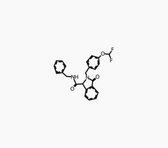 O=C(NCc1ccccc1)C1c2ccccc2C(=O)N1Cc1ccc(OC(F)F)cc1